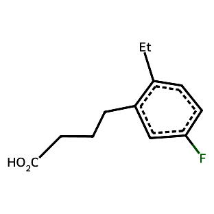 CCc1ccc(F)cc1CCCC(=O)O